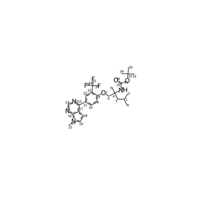 CC(C)CC(C)(COc1ccc(-c2ncnc3c2ccn3C)cc1C(F)(F)F)NC(=O)OC(C)(C)C